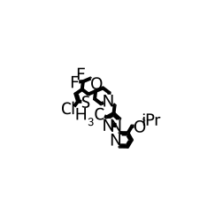 Cc1nn(-c2ncccc2COC(C)C)cc1CN1CCC2(CC1)OCC(F)(F)C1C=C(Cl)SC12